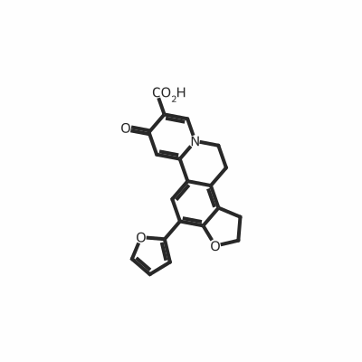 O=C(O)c1cn2c(cc1=O)-c1cc(-c3ccco3)c3c(c1CC2)CCO3